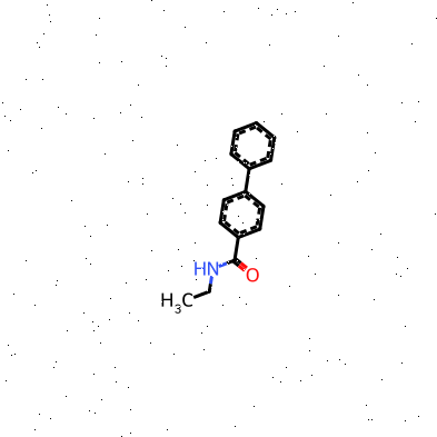 CCNC(=O)c1ccc(-c2ccccc2)cc1